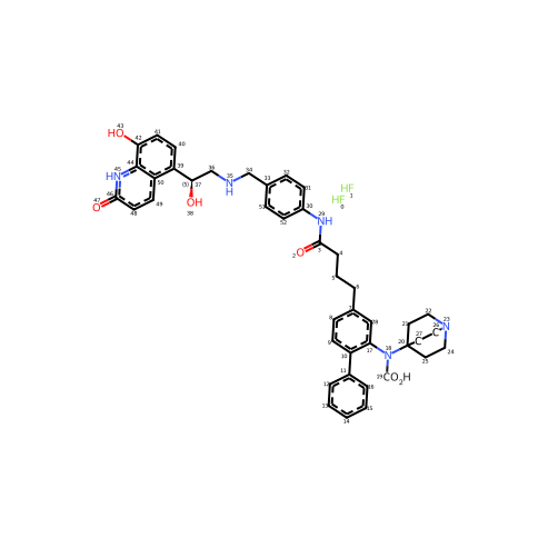 F.F.O=C(CCCc1ccc(-c2ccccc2)c(N(C(=O)O)C23CCN(CC2)CC3)c1)Nc1ccc(CNC[C@@H](O)c2ccc(O)c3[nH]c(=O)ccc23)cc1